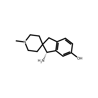 CN1CCC2(CC1)Cc1ccc(O)cc1[C@@H]2N